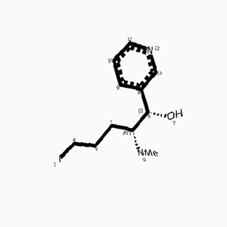 CN[C@H](CCCI)[C@@H](O)c1cccnc1